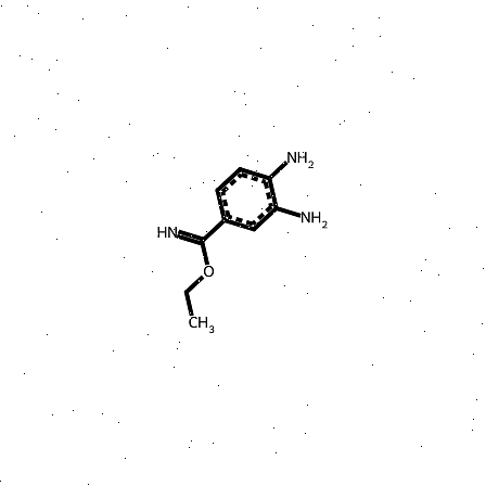 CCOC(=N)c1ccc(N)c(N)c1